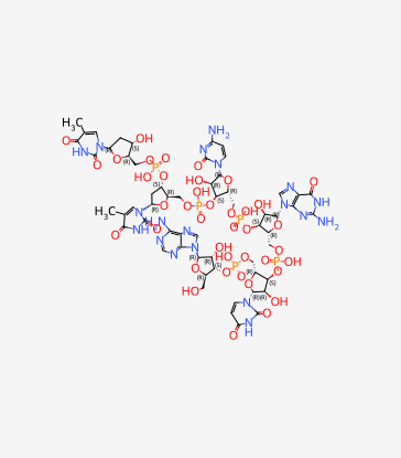 Cc1cn([C@H]2C[C@H](OP(=O)(O)OC[C@H]3O[C@@H](n4cc(C)c(=O)[nH]c4=O)C[C@@H]3O)[C@@H](COP(=O)(O)O[C@H]3[C@@H](O)[C@H](n4ccc(N)nc4=O)O[C@@H]3COP(=O)(O)O[C@H]3[C@@H](O)[C@H](n4cnc5c(=O)[nH]c(N)nc54)O[C@@H]3COP(=O)(O)O[C@H]3[C@@H](O)[C@H](n4ccc(=O)[nH]c4=O)O[C@@H]3COP(=O)(O)O[C@H]3[C@@H](O)[C@H](n4cnc5c(N)ncnc54)O[C@@H]3CO)O2)c(=O)[nH]c1=O